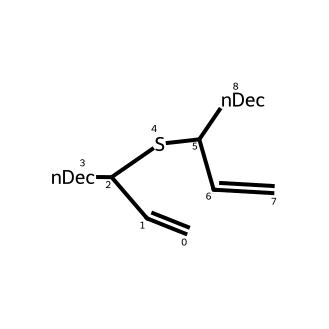 C=CC(CCCCCCCCCC)SC(C=C)CCCCCCCCCC